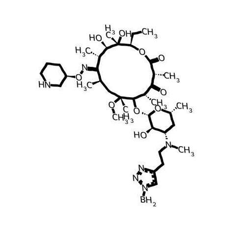 Bn1cc(CCN(C)[C@H]2C[C@@H](C)O[C@@H](OC3[C@@H](C)C(=O)[C@@H](C)C(=O)O[C@H](CC)[C@@](C)(O)[C@H](O)[C@@H](C)/C(=N/O[C@@H]4CCCNC4)[C@H](C)C[C@@]3(C)OC)[C@@H]2O)nn1